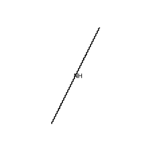 CCCCCCCCCCCC=CCC=CCCCCCCCCCCCCCCCCCCCCNCCCCCCCCCCCC=CCC=CCCCCCCCCCCCCCCCCCCCC